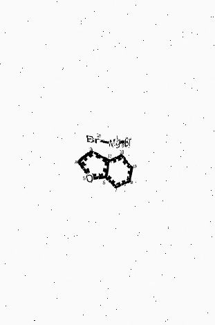 [Br][Mg][Br].[c]1coc2ccccc12